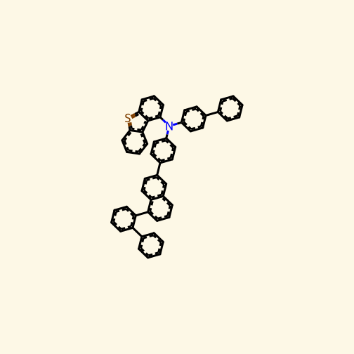 c1ccc(-c2ccc(N(c3ccc(-c4ccc5c(-c6ccccc6-c6ccccc6)cccc5c4)cc3)c3cccc4sc5ccccc5c34)cc2)cc1